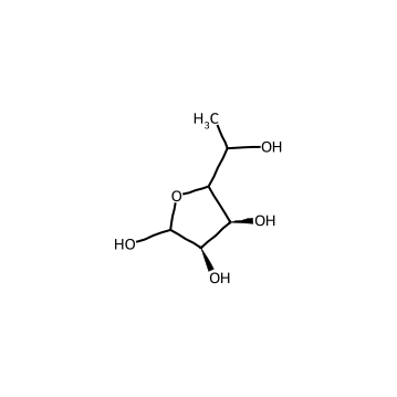 CC(O)C1OC(O)[C@H](O)[C@@H]1O